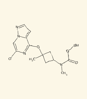 CN(C(=O)OC(C)(C)C)C1CC(C)(Oc2nc(Cl)cn3nccc23)C1